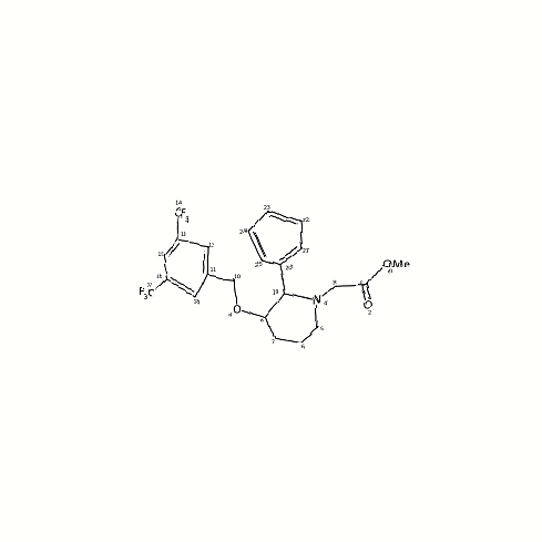 COC(=O)CN1CCCC(OCc2cc(C(F)(F)F)cc(C(F)(F)F)c2)C1c1ccccc1